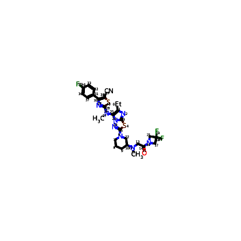 CCc1nc2sc(N3CCCC(N(C)CC(=O)N4CC(F)(F)C4)C3)nn2c1N(C)c1nc(-c2ccc(F)cc2)c(C#N)s1